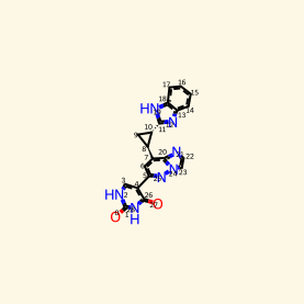 O=c1[nH]cc(-c2cc([C@H]3C[C@@H]3c3nc4ccccc4[nH]3)c3nccn3n2)c(=O)[nH]1